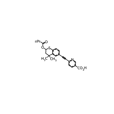 CCCC(=O)OC1CC(C)(C)c2cc(C#Cc3ccc(C(=O)O)cn3)ccc2S1